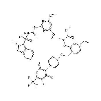 CCc1ccc(COc2ccc(-n3c(=O)cc(C(F)(F)F)n(C)c3=O)cc2)c(OC(C)C(=O)OC)c1.COc1cc(OC)nc(NC(=O)NS(=O)(=O)c2c(Cl)nc3ccccn23)n1